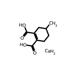 CC1CCC(C(=O)O)=C(C(=O)O)C1.[CaH2]